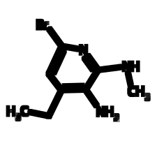 CCc1cc(Br)nc(NC)c1N